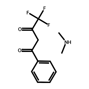 CNC.O=C(CC(=O)C(F)(F)F)c1ccccc1